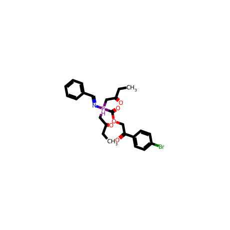 CCC(=O)C[PH](CC(=O)CC)(N=Cc1ccccc1)C(=O)OCC(=O)c1ccc(Br)cc1